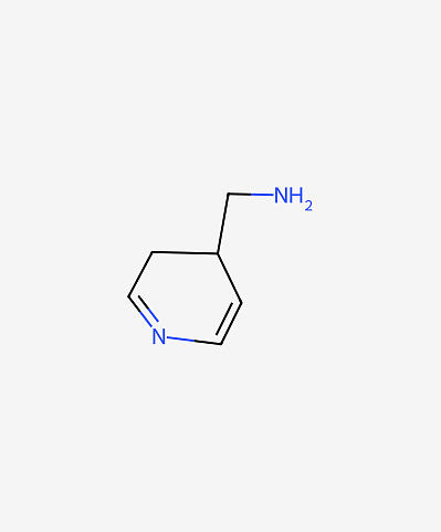 NCC1C=CN=CC1